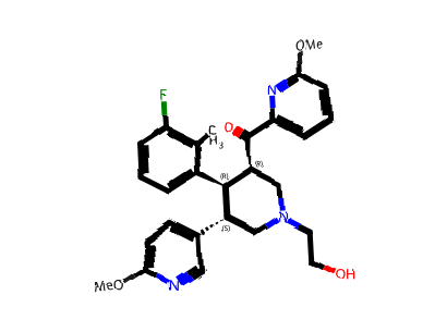 COc1ccc([C@H]2CN(CCO)C[C@H](C(=O)c3cccc(OC)n3)[C@@H]2c2cccc(F)c2C)[c]n1